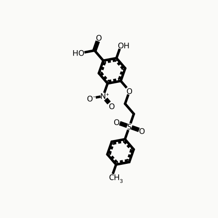 Cc1ccc(S(=O)(=O)CCOc2cc(O)c(C(=O)O)cc2[N+](=O)[O-])cc1